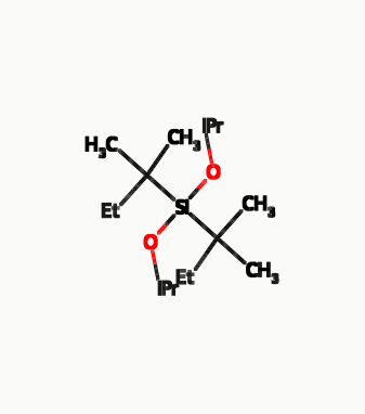 CCC(C)(C)[Si](OC(C)C)(OC(C)C)C(C)(C)CC